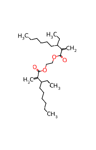 C=C(C(=O)OCCOC(=O)C(=C)C(CC)CCCCCC)C(CC)CCCCCC